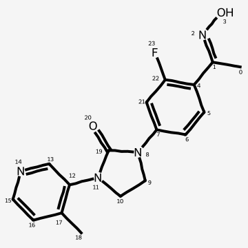 CC(=NO)c1ccc(N2CCN(c3cnccc3C)C2=O)cc1F